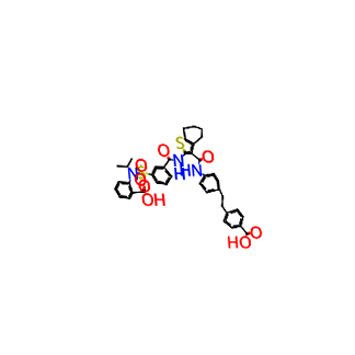 CC(C)N(c1ccccc1C(=O)O)S(=O)(=O)c1cccc(C(=O)Nc2sc3c(c2C(=O)Nc2ccc(CCc4ccc(C(=O)O)cc4)cc2)CCCC3)c1